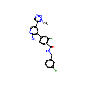 Cn1nncc1-c1cnc(N)c(-c2ccc(C(=O)NCc3cccc(Br)c3)c(F)c2)c1